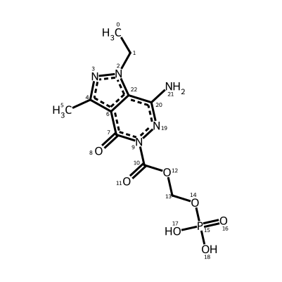 CCn1nc(C)c2c(=O)n(C(=O)OCOP(=O)(O)O)nc(N)c21